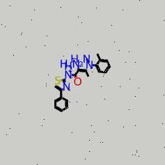 C/C(=C(/N)C(=O)Nc1nc(-c2ccccc2)cs1)N(N)c1ccccc1C